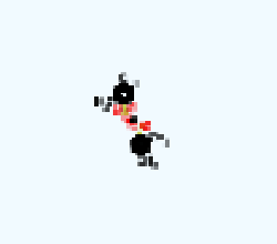 Cc1ccc(S(=O)OCOS(=O)(=O)c2ccc(C)cc2C)c(C)c1